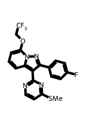 CSc1ccnc(-c2c(-c3ccc(F)cc3)nn3c(OCC(F)(F)F)cccc23)n1